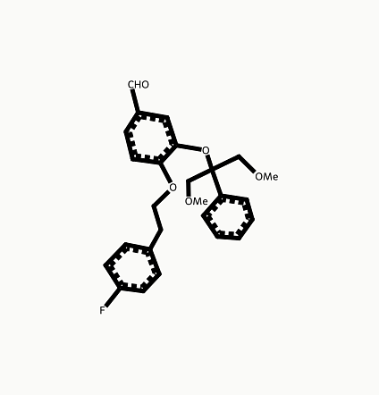 COCC(COC)(Oc1cc(C=O)ccc1OCCc1ccc(F)cc1)c1ccccc1